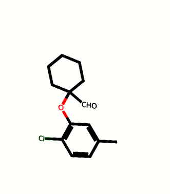 Cc1ccc(Cl)c(OC2(C=O)CCCCC2)c1